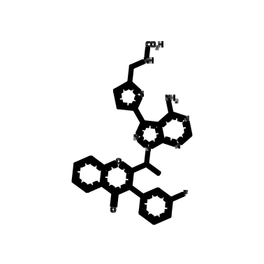 CC(c1oc2ccccc2c(=O)c1-c1cccc(F)c1)n1nc(-c2ccc(CNC(=O)O)s2)c2c(N)ncnc21